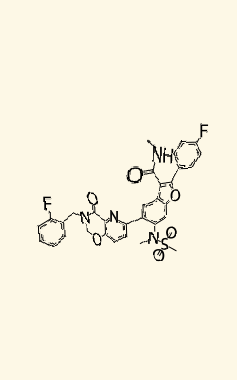 CNC(=O)c1c(-c2ccc(F)cc2)oc2cc(N(C)S(C)(=O)=O)c(-c3ccc4c(n3)C(=O)N(Cc3ccccc3F)CO4)cc12